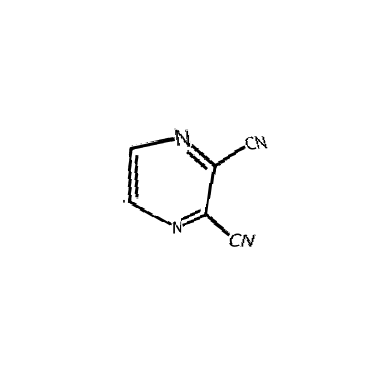 N#Cc1n[c]cnc1C#N